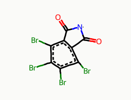 O=C1[N]C(=O)c2c(Br)c(Br)c(Br)c(Br)c21